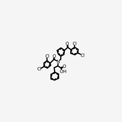 O=C(c1cccc(CN(C(=O)c2ccc(Cl)cc2Cl)C(Cc2ccccc2)C(=O)O)c1)c1ccc(Cl)cc1Cl